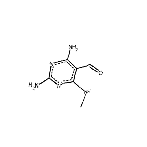 CNc1nc(N)nc(N)c1C=O